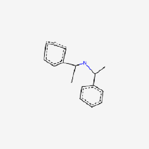 CC([N]C(C)c1ccccc1)c1ccccc1